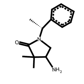 C[C@H](c1ccccc1)N1CC(N)C(C)(C)C1=O